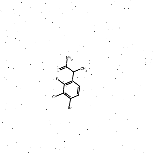 CC(C(N)=O)c1ccc(Br)c(Cl)c1F